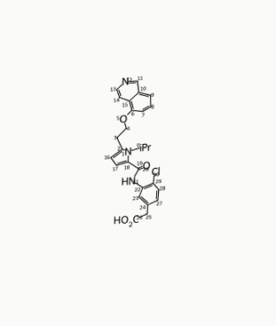 CC(C)n1c(CCOc2cccc3cnccc23)ccc1C(=O)Nc1cc(CC(=O)O)ccc1Cl